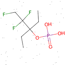 CCC(CC)(OP(=O)(O)O)C(F)(F)CF